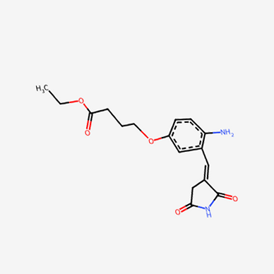 CCOC(=O)CCCOc1ccc(N)c(/C=C2\CC(=O)NC2=O)c1